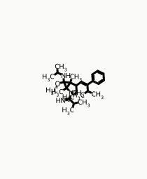 C=[N+](C(=N)C(C)C)C1(C)C(NC(C)C)(OC)C1(C)C(C=C(c1ccccc1)C(C)C)CC